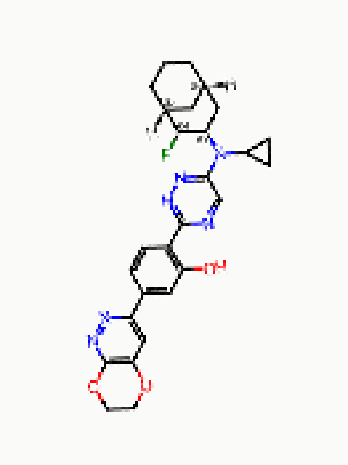 Oc1cc(-c2cc3c(nn2)OCCO3)ccc1-c1ncc(N(C2CC2)[C@@H]2C[C@H]3CCC[C@H](C3)[C@@H]2F)nn1